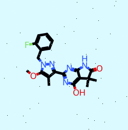 COc1c(C)c(-c2nc(O)c3c(n2)NC(=O)C3(C)C)nn1Cc1ccccc1F